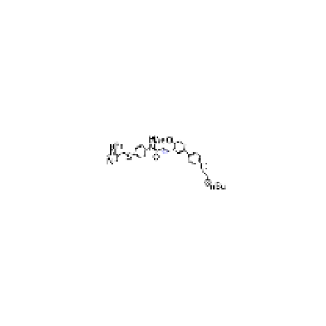 CCCCOCCOc1ccc(-c2ccc(OC)c(/C=C/C(=O)Nc3ccc(SCc4cncn4CCC)cc3)c2)cc1